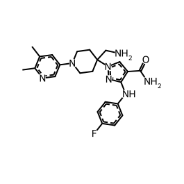 Cc1cc(N2CCC(CN)(n3cc(C(N)=O)c(Nc4ccc(F)cc4)n3)CC2)cnc1C